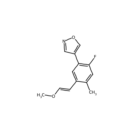 COC=Cc1cc(-c2cnoc2)c(F)cc1C